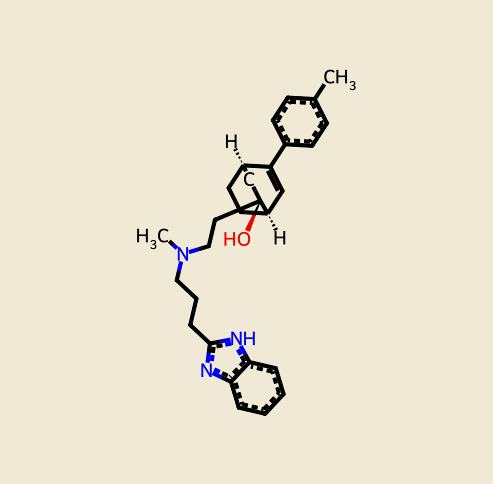 Cc1ccc(C2=C[C@H]3CC[C@@H]2C[C@@]3(O)CCN(C)CCCc2nc3ccccc3[nH]2)cc1